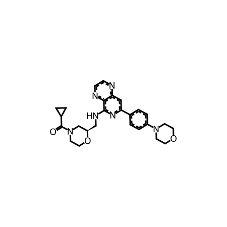 O=C(C1CC1)N1CCO[C@H](CNc2nc(-c3ccc(N4CCOCC4)cc3)cc3nccnc23)C1